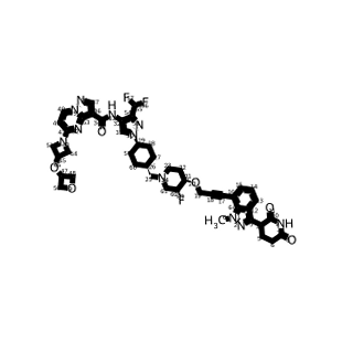 Cn1nc(C2CCC(=O)NC2=O)c2cccc(C#CCO[C@H]3CCN(C[C@H]4CC[C@H](n5cc(NC(=O)c6cnn7ccc(N8CC(OC9COC9)C8)nc67)c(C(F)F)n5)CC4)C[C@H]3F)c21